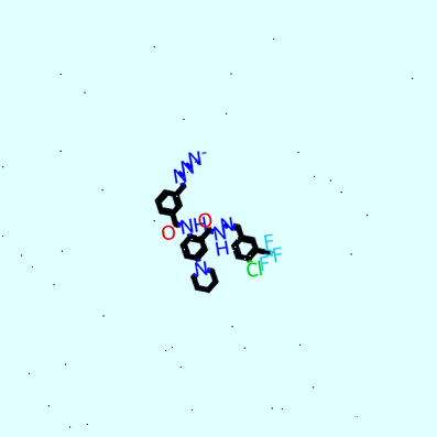 [N-]=[N+]=NCc1cccc(C(=O)Nc2ccc(N3CCCCC3)cc2C(=O)N/N=C\c2ccc(Cl)c(C(F)(F)F)c2)c1